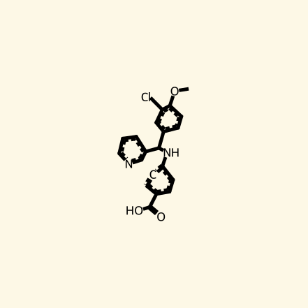 COc1ccc(C(Nc2ccc(C(=O)O)cc2)c2cccnc2)cc1Cl